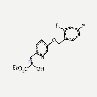 CCOC(=O)/C(O)=C/c1ccc(OCc2ccc(F)cc2F)cn1